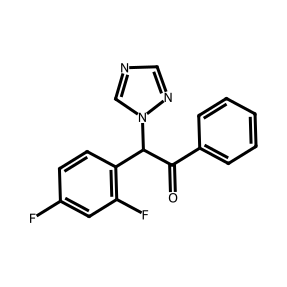 O=C(c1ccccc1)C(c1ccc(F)cc1F)n1cncn1